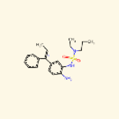 C/C=C(\c1ccccc1)c1ccc(N)c(NS(=O)(=O)N(CC)CCC)c1